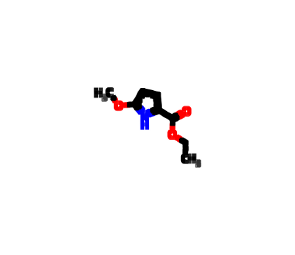 CCOC(=O)c1ccc(OC)[nH]1